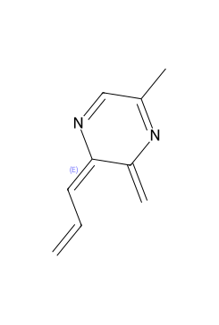 C=C/C=c1/ncc(C)nc1=C